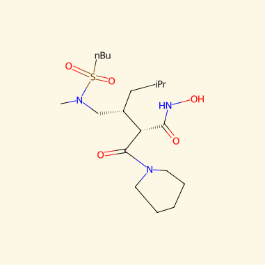 CCCCS(=O)(=O)N(C)C[C@H](CC(C)C)[C@H](C(=O)NO)C(=O)N1CCCCC1